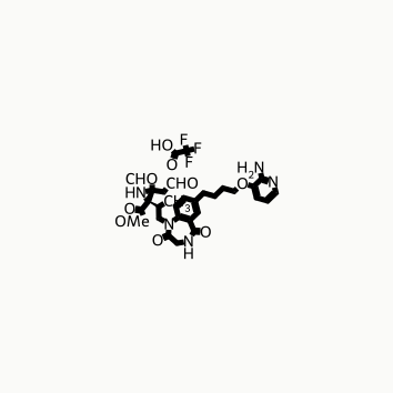 COC(=O)[C@]1(C(C)CN2C(=O)CNC(=O)c3cc(CCCCOc4cccnc4N)ccc32)NC1(C=O)CC=O.O=C(O)C(F)(F)F